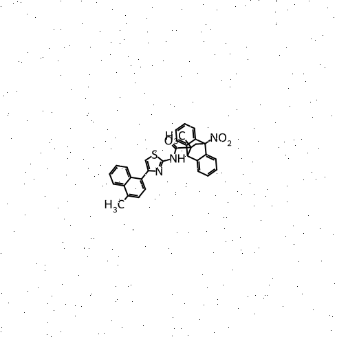 Cc1ccc(-c2csc(NC(=O)C3(C)CC4([N+](=O)[O-])c5ccccc5C3c3ccccc34)n2)c2ccccc12